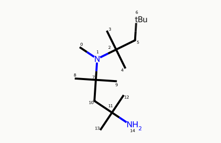 CN(C(C)(C)CC(C)(C)C)C(C)(C)CC(C)(C)N